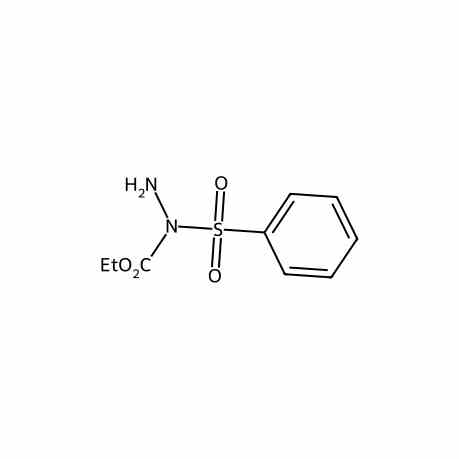 CCOC(=O)N(N)S(=O)(=O)c1ccccc1